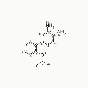 CC(C)Oc1cnccc1-c1ccc(N)c(N)c1